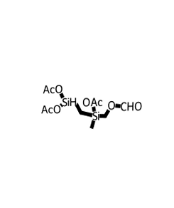 CC(=O)O[SiH](CC[Si](C)(COC=O)OC(C)=O)OC(C)=O